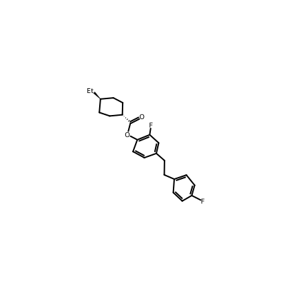 CC[C@H]1CC[C@H](C(=O)Oc2ccc(CCc3ccc(F)cc3)cc2F)CC1